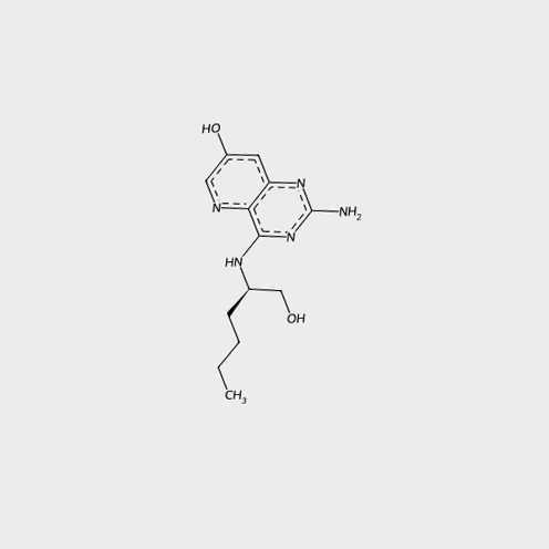 CCCC[C@H](CO)Nc1nc(N)nc2cc(O)cnc12